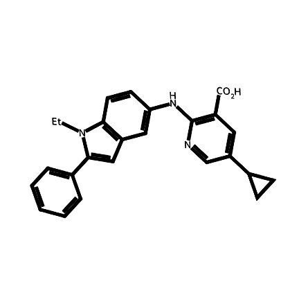 CCn1c(-c2ccccc2)cc2cc(Nc3ncc(C4CC4)cc3C(=O)O)ccc21